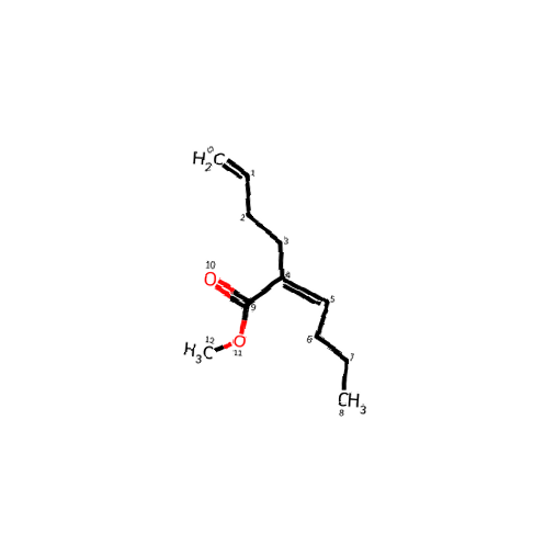 C=CCCC(=CCCC)C(=O)OC